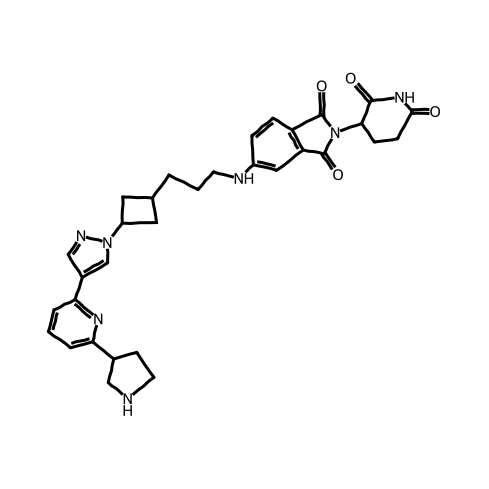 O=C1CCC(N2C(=O)c3ccc(NCCCC4CC(n5cc(-c6cccc(C7CCNC7)n6)cn5)C4)cc3C2=O)C(=O)N1